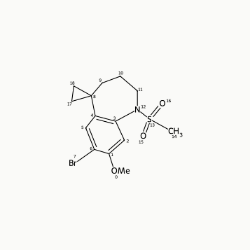 COc1cc2c(cc1Br)C1(CCCN2S(C)(=O)=O)CC1